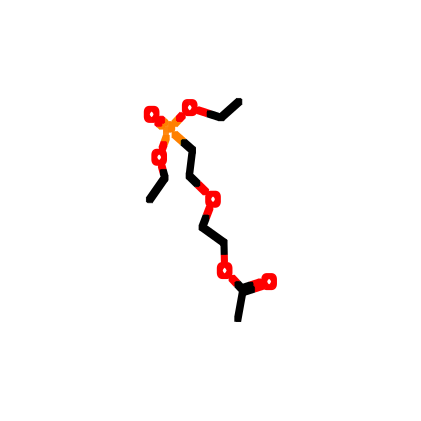 CCOP(=O)(CCOCCOC(C)=O)OCC